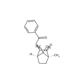 CC1(C)[C@H]2CC[C@]1(C)C(=O)/C2=C\C(=O)c1ccccc1